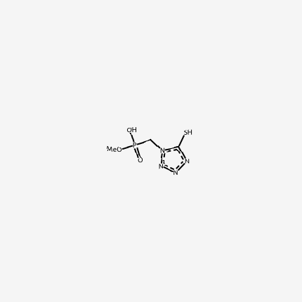 COP(=O)(O)Cn1nnnc1S